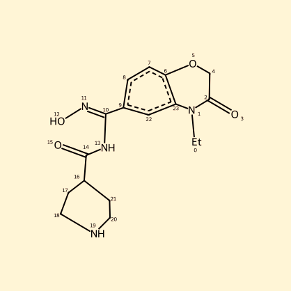 CCN1C(=O)COc2ccc(C(=NO)NC(=O)C3CCNCC3)cc21